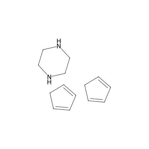 C1=CCC=C1.C1=CCC=C1.C1CNCCN1